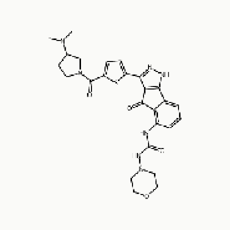 CN(C)C1CCN(C(=O)c2ccc(-c3n[nH]c4c3C(=O)c3c(NC(=O)NN5CCOCC5)cccc3-4)s2)C1